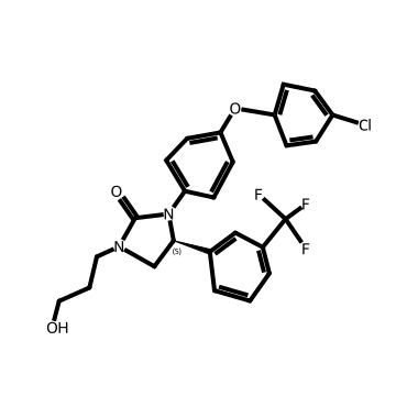 O=C1N(CCCO)C[C@H](c2cccc(C(F)(F)F)c2)N1c1ccc(Oc2ccc(Cl)cc2)cc1